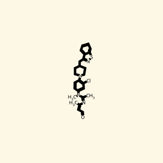 CC(=C/C=O)/N=C(/C)N(C)c1ccc(N2CCC(Cc3nsc4ccccc34)CC2)c(Cl)c1